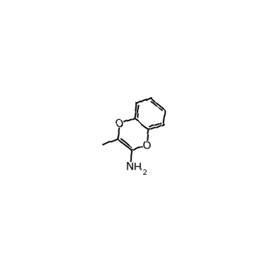 CC1=C(N)Oc2ccccc2O1